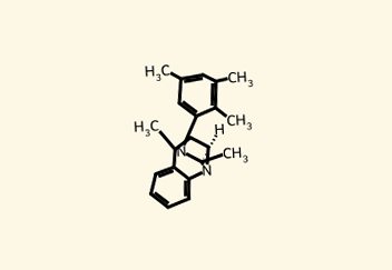 Cc1cc(C)c(C)c(N2[C@@H](C)N3CCC2(C)c2ccccc23)c1